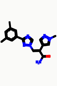 Cc1cc(C)cc(-c2ncn(/C=C(/C(N)=O)c3cnn(C)c3)n2)c1